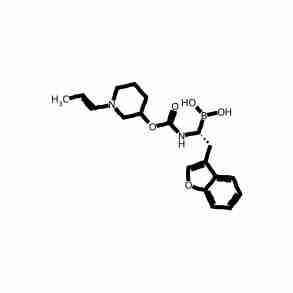 CC=CN1CCCC(OC(=O)N[C@@H](Cc2coc3ccccc23)B(O)O)C1